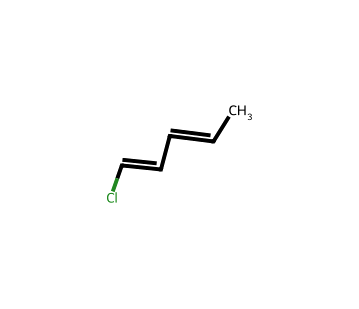 CC=CC=CCl